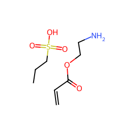 C=CC(=O)OCCN.CCCS(=O)(=O)O